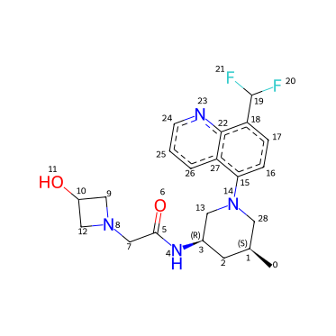 C[C@H]1C[C@@H](NC(=O)CN2CC(O)C2)CN(c2ccc(C(F)F)c3ncccc23)C1